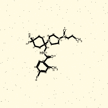 CCC[S+]([O-])N1CCN(C2(CNC(=O)c3ccc(F)cc3C)CCC(F)(F)CC2)CC1